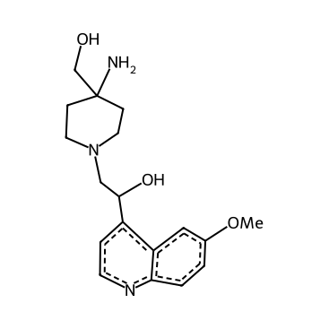 COc1ccc2nccc(C(O)CN3CCC(N)(CO)CC3)c2c1